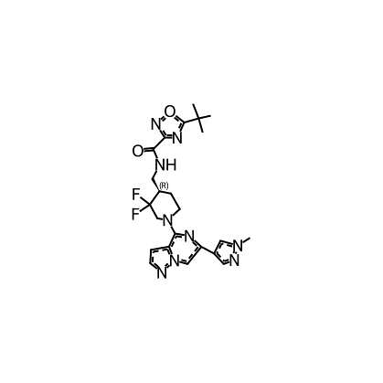 Cn1cc(-c2cn3nccc3c(N3CC[C@H](CNC(=O)c4noc(C(C)(C)C)n4)C(F)(F)C3)n2)cn1